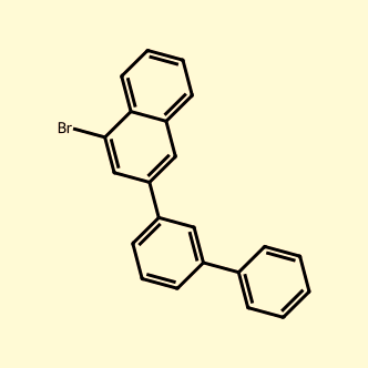 Brc1cc(-c2cccc(-c3ccccc3)c2)cc2ccccc12